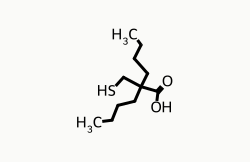 CCCCC(CS)(CCCC)C(=O)O